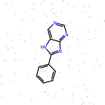 c1ccc(-c2nc3ncncc3[nH]2)cc1